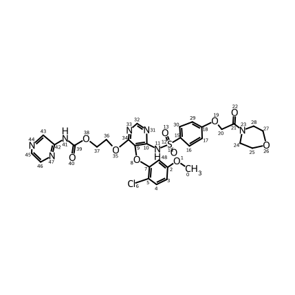 COc1ccc(Cl)c(Oc2c(NS(=O)(=O)c3ccc(OCC(=O)N4CCOCC4)cc3)ncnc2OCCOC(=O)Nc2cnccn2)c1